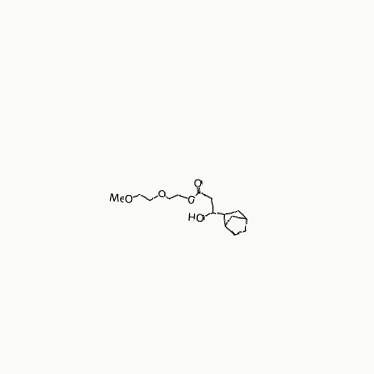 COCCOCCOC(=O)CC(O)C1CC2CCC1C2